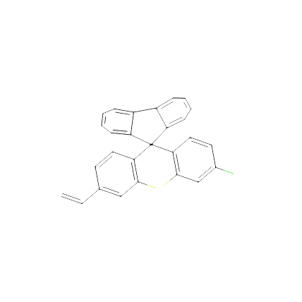 C=Cc1ccc2c(c1)Sc1cc(Cl)ccc1C21c2ccccc2-c2ccccc21